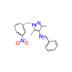 Cc1nn(Cc2cccc([N+](=O)[O-])c2)c(C)c1/N=C/c1ccccc1